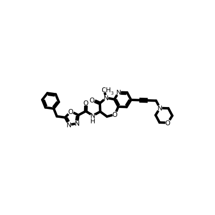 CN1C(=O)C(NC(=O)c2nnc(Cc3ccccc3)o2)COc2cc(C#CCN3CCOCC3)cnc21